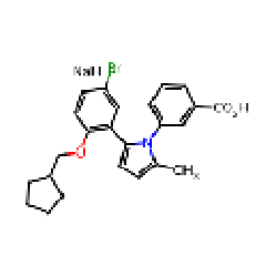 Cc1ccc(-c2cc(Br)ccc2OCC2CCCC2)n1-c1cccc(C(=O)O)c1.[NaH]